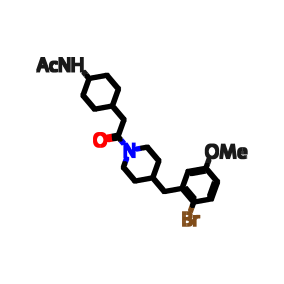 COc1ccc(Br)c(CC2CCN(C(=O)CC3CCC(NC(C)=O)CC3)CC2)c1